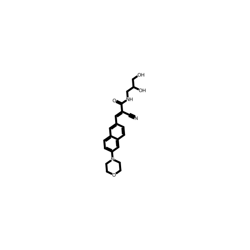 N#C/C(=C\c1ccc2cc(N3CCOCC3)ccc2c1)C(=O)NCC(O)CO